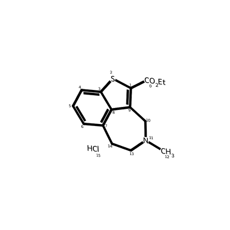 CCOC(=O)c1sc2cccc3c2c1CN(C)CC3.Cl